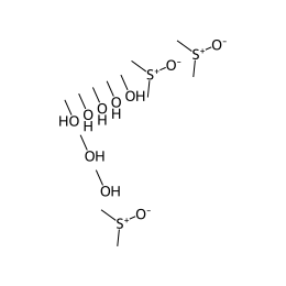 CO.CO.CO.CO.CO.CO.CO.C[S+](C)[O-].C[S+](C)[O-].C[S+](C)[O-]